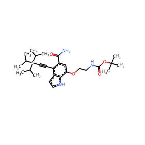 CC(C)[Si](C#Cc1c(C(N)=O)cc(OCCNC(=O)OC(C)(C)C)c2[nH]ccc12)(C(C)C)C(C)C